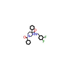 O=C(c1ccccc1)N1CCC(C(=O)NCc2ccc(F)c(F)c2)(c2ccccc2)CC1